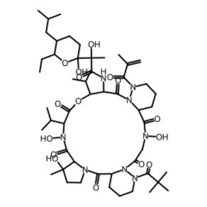 C=C(C)C(=O)N1CCCC2C(=O)N(O)CC(=O)N3C(CCCN3C(=O)C(C)(C)C)C(=O)N3CCC(C)(O)C3C(=O)N(O)C(C(C)C)C(=O)OC(C(C)C)C(NC(=O)C(C)(O)C3(O)CCC(CC(C)C)C(CC)O3)C(=O)N21